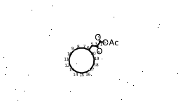 CC(=O)OC(=O)C(=O)CC1CCCCCCCCCCCCCC1